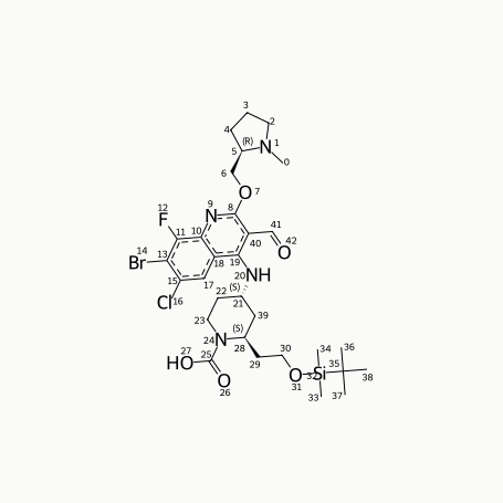 CN1CCC[C@@H]1COc1nc2c(F)c(Br)c(Cl)cc2c(N[C@H]2CCN(C(=O)O)[C@H](CCO[Si](C)(C)C(C)(C)C)C2)c1C=O